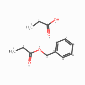 CCC(=O)O.CCC(=O)OCc1ccccc1